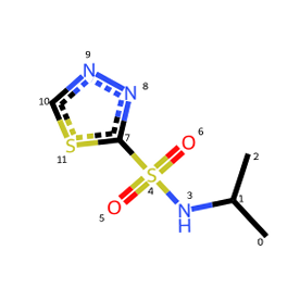 CC(C)NS(=O)(=O)c1nn[c]s1